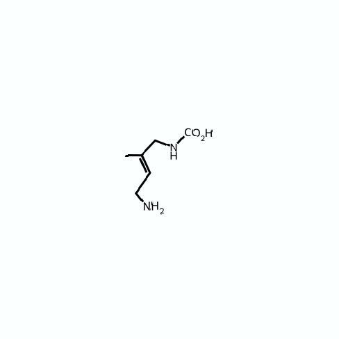 CC(=CCN)CNC(=O)O